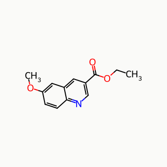 CCOC(=O)c1cnc2ccc(OC)cc2c1